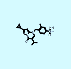 Cc1cc([S@@](C)(=N)=O)ccc1Cn1cc(C(C)C)c(=O)n2nc(C3CC3)cc12